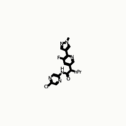 CCCC(C(=O)Nc1cnc(Cl)cn1)c1cnc(-c2cnn(C)c2)c(F)c1